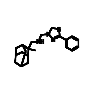 CC1(CNCN2CSC(c3ccccc3)=N2)C2CC3CC(C2)CC1C3